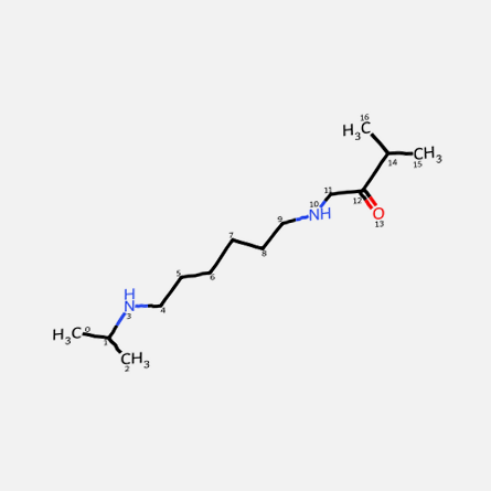 CC(C)NCCCCCCNCC(=O)C(C)C